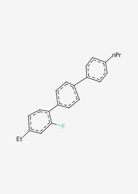 CCCc1ccc(-c2ccc(-c3ccc(CC)cc3F)cc2)cc1